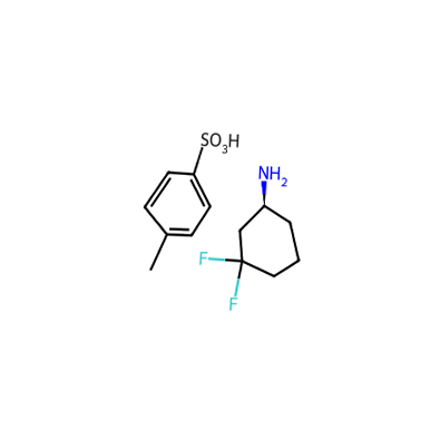 Cc1ccc(S(=O)(=O)O)cc1.N[C@H]1CCCC(F)(F)C1